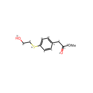 COC(=O)Cc1ccc(SCCO)cc1